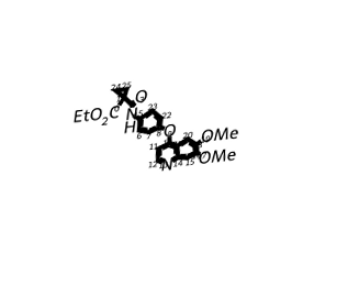 CCOC(=O)C1(C(=O)Nc2ccc(Oc3ccnc4cc(OC)c(OC)cc34)cc2)CC1